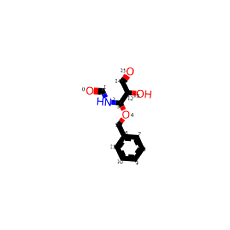 O=CNC(OCc1ccccc1)C(O)C=O